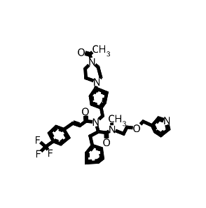 CC(=O)N1CCN(c2ccc(CN(C(=O)C=Cc3ccc(C(F)(F)F)cc3)C(Cc3ccccc3)C(=O)N(C)CCOCc3cccnc3)cc2)CC1